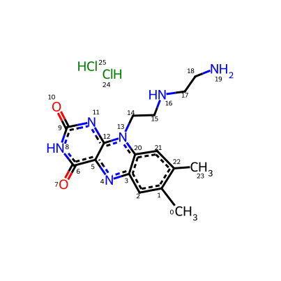 Cc1cc2nc3c(=O)[nH]c(=O)nc-3n(CCNCCN)c2cc1C.Cl.Cl